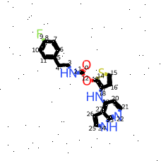 O=C(NCCc1ccc(F)cc1)Oc1sccc1Nc1ccnc2[nH]ccc12